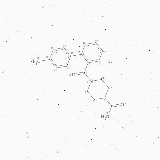 NC(=O)C1CCN(C(=O)c2ccccc2-c2ccc(C(F)(F)F)cc2)CC1